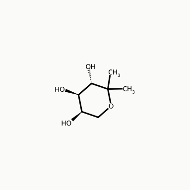 CC1(C)OC[C@@H](O)[C@@H](O)[C@@H]1O